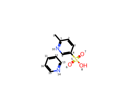 Cc1ccc(S(=O)(=O)O)cn1.c1ccncc1